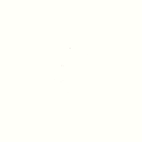 COc1cccc(N/C=C(\C(=O)O)c2ccccc2)c1